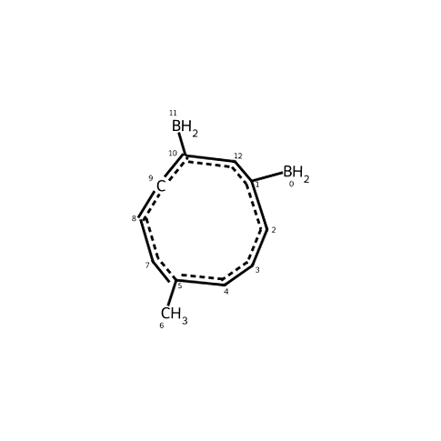 Bc1cccc(C)cccc(B)c1